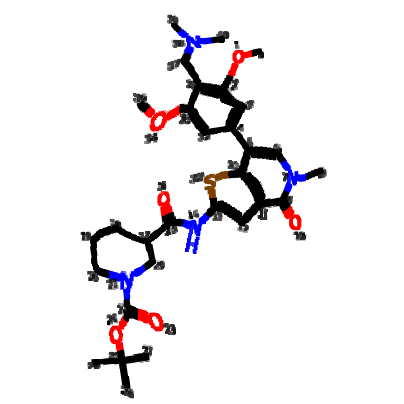 COc1cc(-c2cn(C)c(=O)c3cc(NC(=O)C4CCCN(C(=O)OC(C)(C)C)C4)sc23)cc(OC)c1CN(C)C